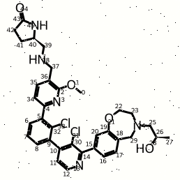 COc1nc(-c2cccc(-c3ccnc(-c4ccc5c(c4)OCCN(C[C@@H](C)O)C5)c3Cl)c2Cl)ccc1CNC[C@H]1CCC(=O)N1